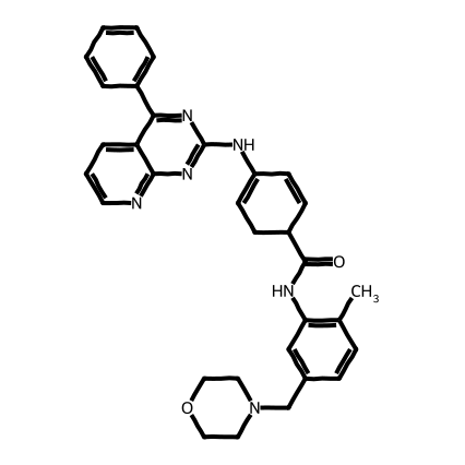 Cc1ccc(CN2CCOCC2)cc1NC(=O)C1C=CC(Nc2nc(-c3ccccc3)c3cccnc3n2)=CC1